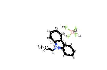 C=Cn1c2ccccc2c2ccccc21.F[B-](F)(F)F